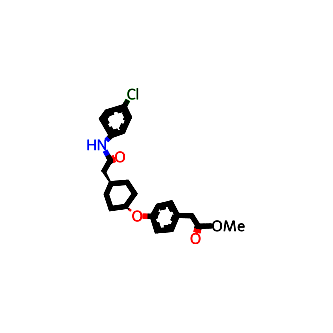 COC(=O)Cc1ccc(O[C@H]2CC[C@H](CC(=O)Nc3ccc(Cl)cc3)CC2)cc1